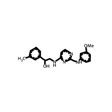 COc1cccc(Nc2nccc(NCC(O)c3cccc(C)c3)n2)c1